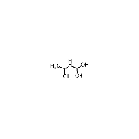 C[C](C)NC(O)O